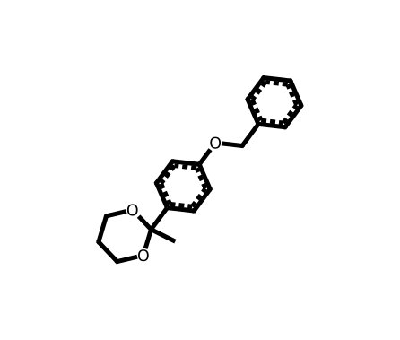 CC1(c2ccc(OCc3ccccc3)cc2)OCCCO1